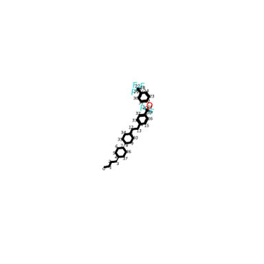 CCCC[C@H]1CC[C@H](C2CCC(CCc3ccc(C(F)(F)Oc4ccc(C(F)(F)F)cc4)cc3)CC2)CC1